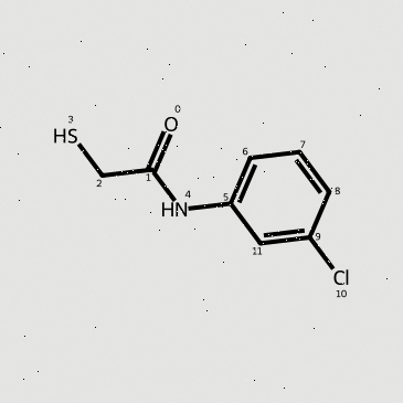 O=C(CS)Nc1cccc(Cl)c1